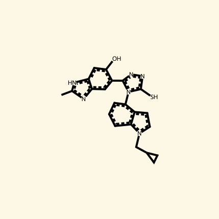 Cc1nc2cc(-c3nnc(S)n3-c3cccc4c3ccn4CC3CC3)c(O)cc2[nH]1